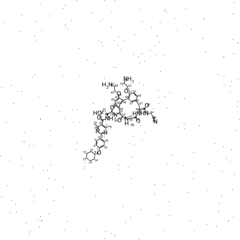 Cc1nc(-c2ccc(OC3CCCCC3)cc2)nc(C)c1C(=O)N[C@H](CO)C(=O)N(C)[C@@H]1C(=O)N[C@@H](C)C(=O)N[C@H](C(=O)NCC#N)Cc2ccc(OCCN)c(c2)-c2cc1ccc2OCCN